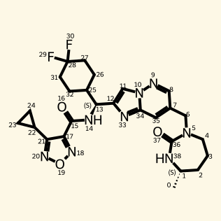 C[C@H]1CCCN(Cc2cnn3cc([C@@H](NC(=O)c4nonc4C4CC4)C4CCC(F)(F)CC4)nc3c2)C(=O)N1